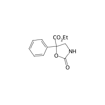 CCOC(=O)C1(c2ccccc2)CNC(=O)O1